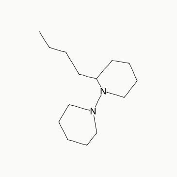 CCCCC1CCCCN1N1CCCCC1